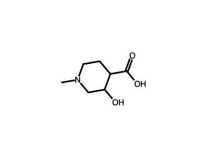 CN1CCC(C(=O)O)C(O)C1